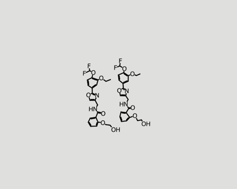 CCOc1cc(-c2nc(CNC(=O)c3ccccc3OCCO)co2)ccc1OC(F)F.CCOc1cc(-c2nc(CNC(=O)c3ccccc3OCCO)co2)ccc1OC(F)F